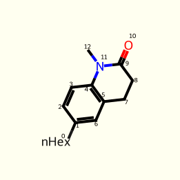 [CH2]CCCCCc1ccc2c(c1)CCC(=O)N2C